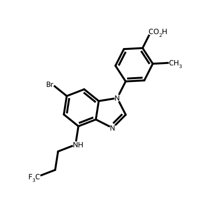 Cc1cc(-n2cnc3c(NCCC(F)(F)F)cc(Br)cc32)ccc1C(=O)O